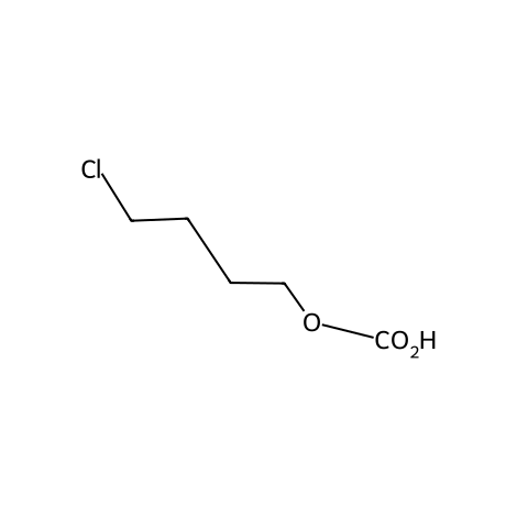 O=C(O)OCCCCCl